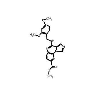 COC(=O)c1ccc2nc(NCc3ccc(OC)cc3OC)c3cncn3c2n1